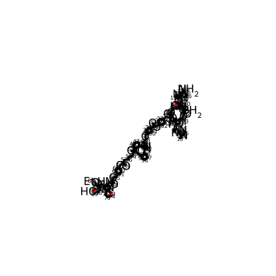 B[P@@]1(=O)OC[C@H]2O[C@@H](n3cnc4c(C)ncnc43)[C@H](F)[C@@H]2O[P@](=O)(SCc2ccc(OC(=O)c3ccc(OCCn4nnc5c4-c4ccccc4N(C(=O)CCCCC(=O)Oc4ccc(COC(=O)Nc6nc7ccccc7c7c6nc(COCC)n7CC(C)(C)O)cc4)Cc4ccccc4-5)cc3)cc2)OC[C@H]2O[C@@H](n3cnc4c(N)ncnc43)[C@H](F)[C@@H]2O1